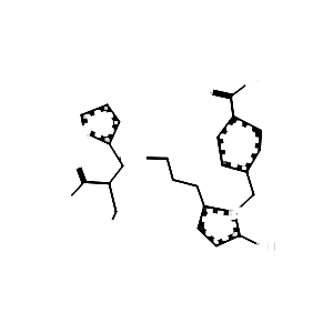 CCCCc1ccc(C)n1Cc1ccc(C(=O)O)cc1.O=C(O)C(CO)Cc1cccs1